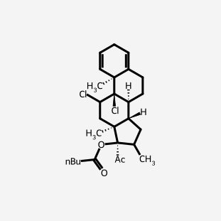 CCCCC(=O)O[C@]1(C(C)=O)C(C)C[C@H]2[C@@H]3CCC4=CCC=C[C@]4(C)[C@@]3(Cl)C(Cl)C[C@@]21C